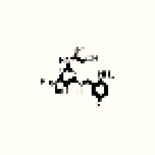 CCn1cnc2c(NCc3cc(F)ccc3N)nc(NC(CO)C(C)C)nc21